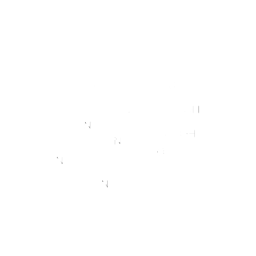 N#Cc1nc2c(nc1C#N)C(CCC(=O)O)(CCC(=O)O)c1ccccc1-2